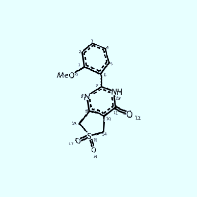 COc1ccccc1-c1nc2c(c(=O)[nH]1)CS(=O)(=O)C2